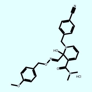 COc1ccc(CON=CC2(O)C(C(=O)N(C)C)=CC=CN2Cc2ccc(C#N)cc2)cc1.Cl